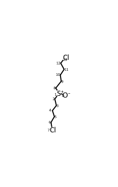 [O-][S+](CCCCCCl)CCCCCCl